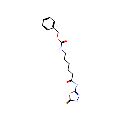 O=C(CCCCCNC(=O)OCc1ccccc1)Nc1n[nH]c(=S)s1